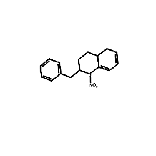 O=[N+]([O-])N1C2=CC=CCC2CCC1Cc1ccccc1